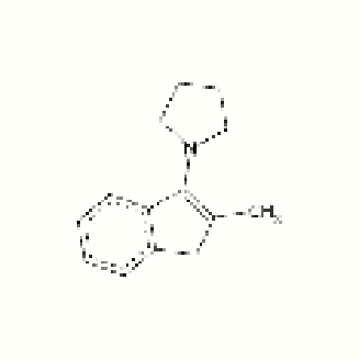 CC1=C(N2CCCC2)c2ccccc2C1